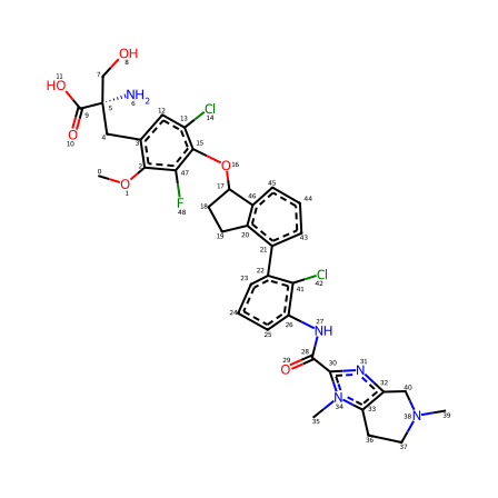 COc1c(C[C@](N)(CO)C(=O)O)cc(Cl)c(OC2CCc3c(-c4cccc(NC(=O)c5nc6c(n5C)CCN(C)C6)c4Cl)cccc32)c1F